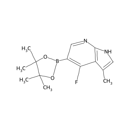 Cc1c[nH]c2ncc(B3OC(C)(C)C(C)(C)O3)c(F)c12